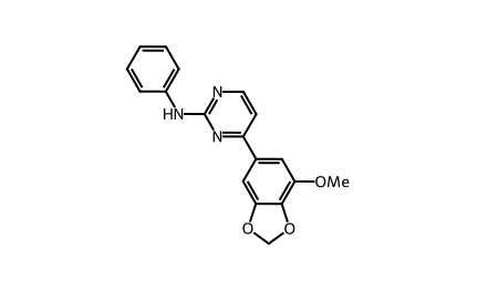 COc1cc(-c2ccnc(Nc3ccccc3)n2)cc2c1OCO2